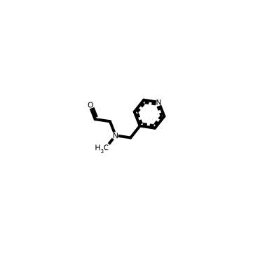 CN(CC=O)Cc1ccncc1